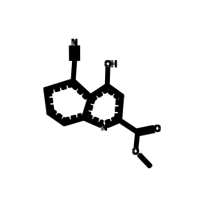 COC(=O)c1cc(O)c2c(C#N)cccc2n1